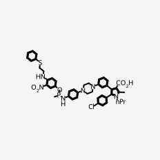 CCCn1c(C)c(C(=O)O)c(-c2cccc(N3CCN(c4ccc(NP(C)Oc5ccc(NCCSc6ccccc6)c([N+](=O)[O-])c5)cc4)CC3)c2)c1-c1ccc(Cl)cc1